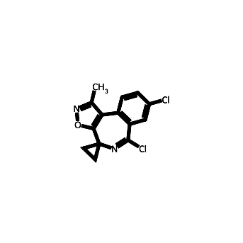 Cc1noc2c1-c1ccc(Cl)cc1C(Cl)=NC21CC1